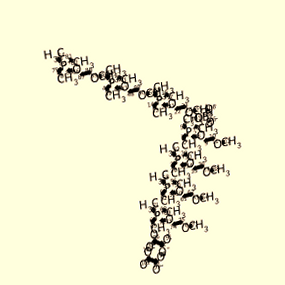 CC[P+](CC)(CC)COCCOC.CC[P+](CC)(CC)COCCOC.CC[P+](CC)(CC)COCCOC.CC[P+](CC)(CC)COCCOC.CC[P+](CC)(CC)COCCOC.CC[P+](CC)(CC)COCCOC.CC[P+](CC)(CC)COCCOC.O=C([O-])C(=O)[O-].O=C([O-])C(=O)[O-].[O-]B([O-])[O-]